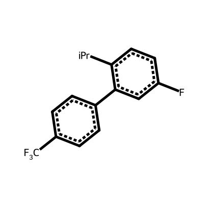 CC(C)c1ccc(F)cc1-c1ccc(C(F)(F)F)cc1